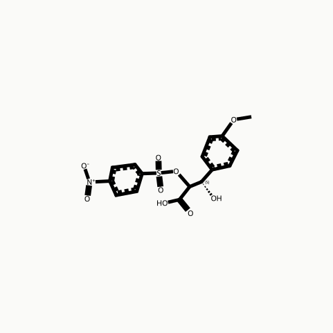 COc1ccc([C@H](O)C(OS(=O)(=O)c2ccc([N+](=O)[O-])cc2)C(=O)O)cc1